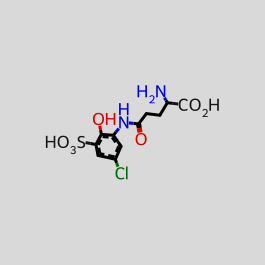 NC(CCC(=O)Nc1cc(Cl)cc(S(=O)(=O)O)c1O)C(=O)O